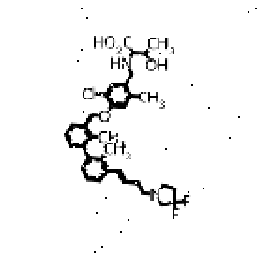 Cc1cc(OCc2cccc(-c3cccc(/C=C/CCN4CCC(F)(F)C4)c3C)c2C)c(Cl)cc1CN[C@@H](C(=O)O)C(C)O